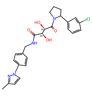 Cc1ccn(-c2ccc(CNC(=O)[C@H](O)[C@@H](O)C(=O)N3CCCC3c3cccc(Cl)c3)cc2)n1